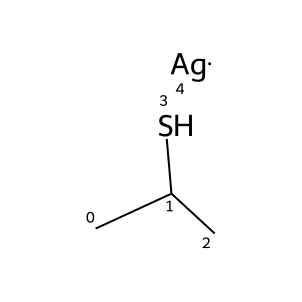 CC(C)S.[Ag]